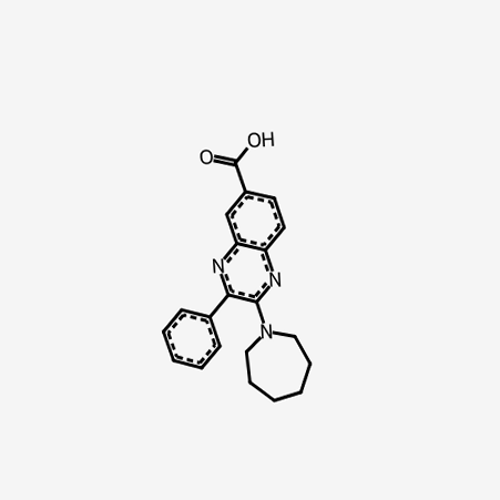 O=C(O)c1ccc2nc(N3CCCCCC3)c(-c3ccccc3)nc2c1